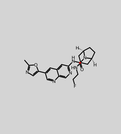 Cc1ncc(-c2cnc3cnc(NC(=O)N4[C@@H]5CC[C@H]4C[C@@H](NCCF)C5)cc3c2)o1